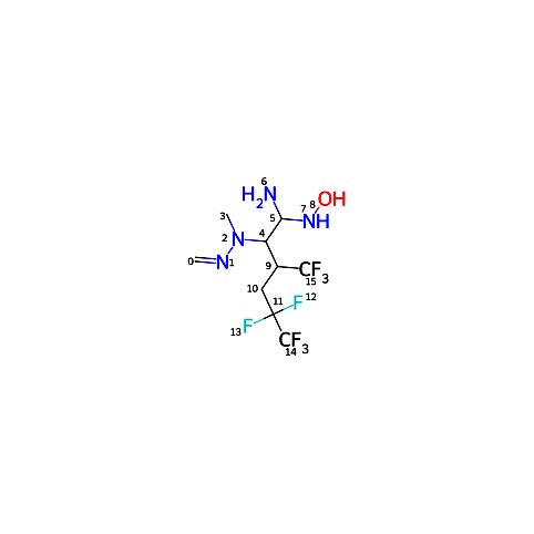 C=NN(C)C(C(N)NO)C(CC(F)(F)C(F)(F)F)C(F)(F)F